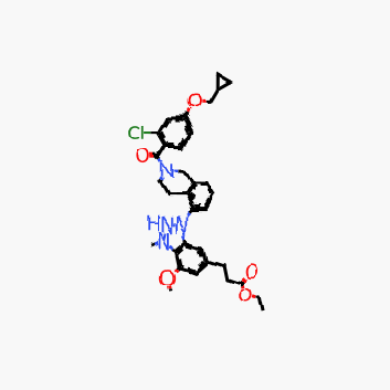 CCOC(=O)CCc1cc(OC)c2c(c1)N(c1cccc3c1CCN(C(=O)c1ccc(OCC4CC4)cc1Cl)C3)NN2C